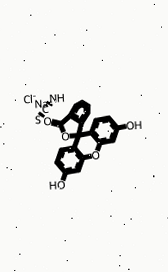 N=C=S.O=C1OC2(c3ccc(O)cc3Oc3cc(O)ccc32)c2ccccc21.[Cl-].[Na+]